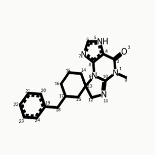 CN1C(=O)c2[nH]cnc2N2C1=NCC21CCCC(Cc2ccccc2)C1